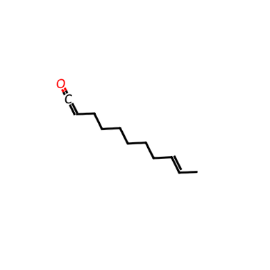 CC=CCCCCCCC=C=O